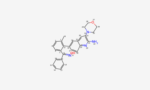 Cc1cccc(/C(=N\O)c2ccccc2)c1-c1ccc2nc(N)c(N3CCOCC3)cc2c1